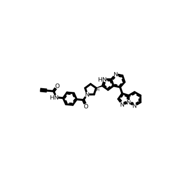 C#CC(=O)Nc1ccc(C(=O)N2CC[C@@H](c3cc4c(-c5cnn6ncccc56)ccnc4[nH]3)C2)cc1